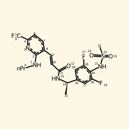 CCCNc1nc(C(F)(F)F)ccc1C=CC(=O)N[C@H](C)c1cc(F)c(NS(C)(=O)=O)c(F)c1